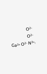 [Ga+3].[N+3].[O-2].[O-2].[O-2]